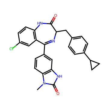 Cn1c(=O)[nH]c2cc(C3=NC(Cc4ccc(C5CC5)cc4)C(=O)Nc4ccc(Cl)cc43)ccc21